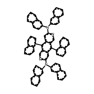 c1ccc2cc(N(c3ccc4ccccc4c3)c3cc4c(-c5cccc6ccccc56)c5cnc(N(c6ccc7ccccc7c6)c6ccc7ccccc7c6)cc5c(-c5cccc6ccccc56)c4cn3)ccc2c1